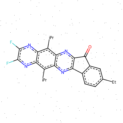 CCc1ccc2c(c1)C(=O)c1nc3c(C(C)C)c4nc(F)c(F)nc4c(C(C)C)c3nc1-2